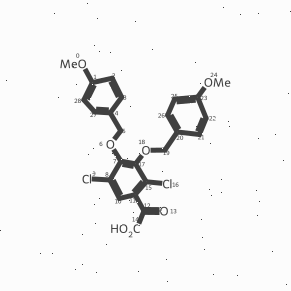 COc1ccc(COc2c(Cl)cc(C(=O)C(=O)O)c(Cl)c2OCc2ccc(OC)cc2)cc1